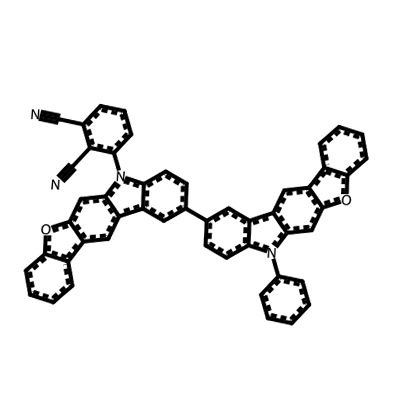 N#Cc1cccc(-n2c3ccc(-c4ccc5c(c4)c4cc6c(cc4n5-c4ccccc4)oc4ccccc46)cc3c3cc4c(cc32)oc2ccccc24)c1C#N